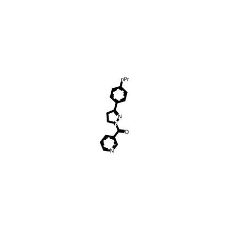 CCCc1ccc(C2=NN(C(=O)c3cccnc3)CC2)cc1